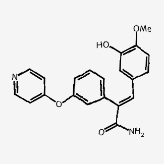 COc1ccc(/C=C(/C(N)=O)c2cccc(Oc3ccncc3)c2)cc1O